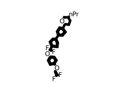 CCCC1CCC(c2ccc(-c3ccc(C(F)(F)Oc4ccc(OC=C(F)F)cc4)cc3)cc2)OC1